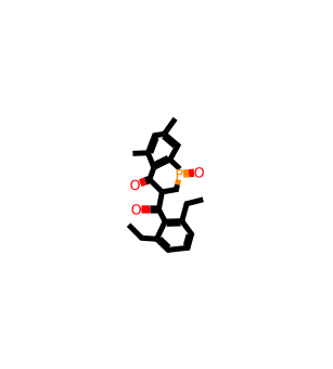 CCc1cccc(CC)c1C(=O)C(CP=O)C(=O)c1c(C)cc(C)cc1C